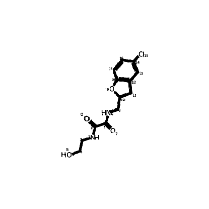 O=C(NCCO)C(=O)NCC1Cc2cc(Cl)ccc2O1